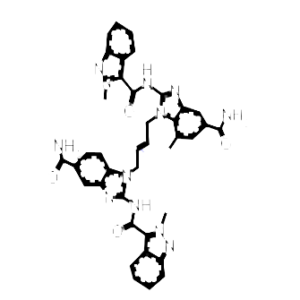 Cc1cc(C(N)=O)cc2nc(NC(=O)c3c4ccccc4nn3C)n(C/C=C/Cn3c(NC(=O)c4c5ccccc5nn4C)nc4cc(C(N)=O)ccc43)c12